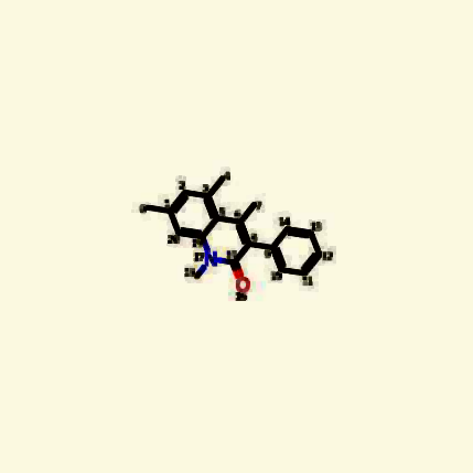 Cc1cc(C)c2c(C)c(-c3ccccc3)c(=O)n(C)c2c1